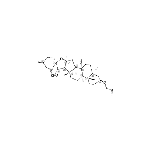 C=CCO[C@H]1CC[C@@]2(C)[C@@](C)(CC[C@@H]3[C@]2(C)CC[C@]2(C)[C@@]4(C)[C@H](C)[C@]5(CC[C@H](C)CN5C=O)O[C@@]4(C)C[C@@]32C)C1